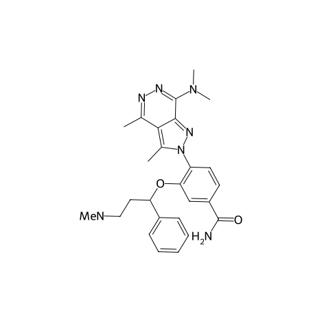 CNCCC(Oc1cc(C(N)=O)ccc1-n1nc2c(N(C)C)nnc(C)c2c1C)c1ccccc1